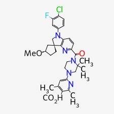 CO[C@@H]1CC[C@@]2(C1)CN(c1ccc(Cl)c(F)c1)c1ccc(C(=O)N3CCN(c4cc(C)c(C(=O)O)c(C)n4)CC3(C)C)nc12